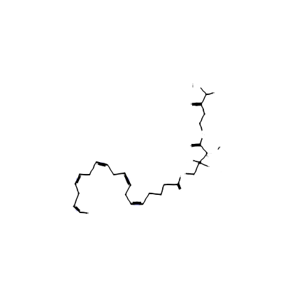 CC/C=C\C/C=C\C/C=C\C/C=C\C/C=C\CCCC(=O)OCC(C)(C)[C@@H](OI)C(=O)NCCC(=O)C(C)C(C)C